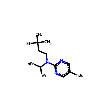 CCCCc1cnc(N(CCC(C)(C)CC)C(CCC)CCC)nc1